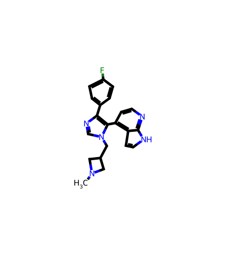 CN1CC(Cn2cnc(-c3ccc(F)cc3)c2-c2ccnc3[nH]ccc23)C1